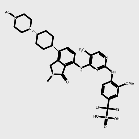 CCC(CC)(c1ccc(Nc2ncc(C(F)(F)F)c(Nc3ccc([C@H]4CC[C@@H](N5CCN(C(C)=O)CC5)CC4)c4c3C(=O)N(C)C4)n2)c(OC)c1)P(=O)(O)O